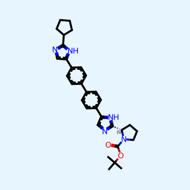 CC(C)(C)OC(=O)N1CCC[C@H]1c1ncc(-c2ccc(-c3ccc(-c4cnc(C5CCCC5)[nH]4)cc3)cc2)[nH]1